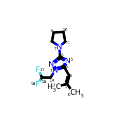 CC(C)=Cc1nc(N2CCCC2)nn1CC(F)F